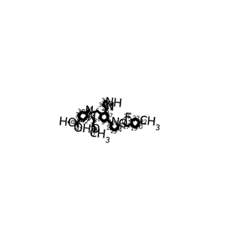 COCCn1c(Cc2ccc(-c3cccc(OCc4ccc(C)cc4F)n3)cc2-c2cc[nH]n2)nc2ccc(C(O)O)cc21